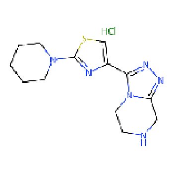 Cl.c1sc(N2CCCCC2)nc1-c1nnc2n1CCNC2